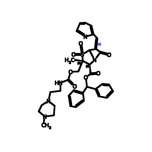 CN1CCN(CCNC(=O)OC[C@@]2(C)[C@H](C(=O)OC(c3ccccc3)c3ccccc3)N3C(=O)/C(=C/c4ccccn4)C3S2(=O)=O)CC1